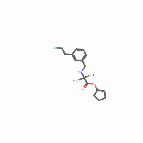 CC(C)(NCc1cccc(CCBr)c1)C(=O)OC1CCCC1